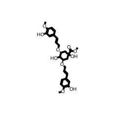 COC(=O)C1(O)C[C@@H](OC/C=C/c2ccc(OC)c(O)c2)C(O)[C@H](OC/C=C/c2ccc(OC)c(O)c2)C1